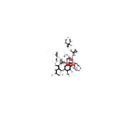 CC(C)(C)OC(=O)Nc1sc2c(F)cnc(-c3c4c(c5c(N6C7CCC6CN(C(=O)OC(C)(C)C)C7)nc(OCC6(CN7CC8(CCOC8)C7)CC6)nc5c3F)COC4)c2c1C#N